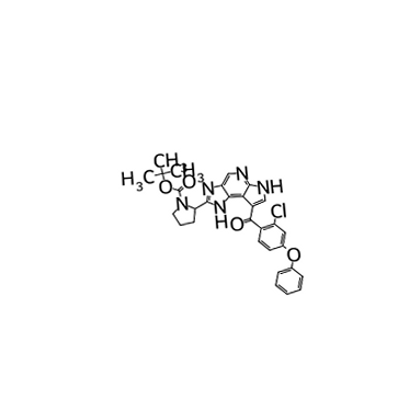 CC(C)(C)OC(=O)N1CCCC1c1nc2cnc3[nH]cc(C(=O)c4ccc(Oc5ccccc5)cc4Cl)c3c2[nH]1